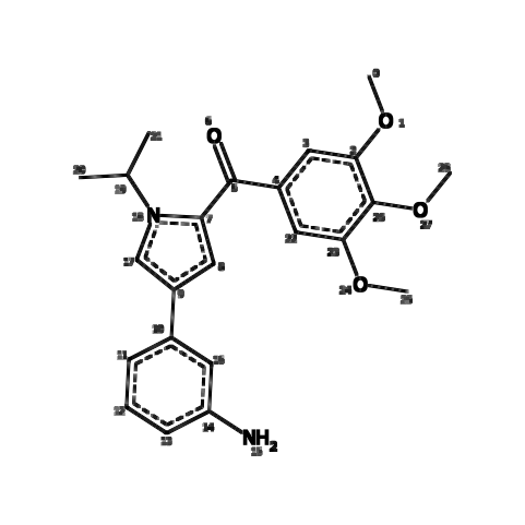 COc1cc(C(=O)c2cc(-c3cccc(N)c3)cn2C(C)C)cc(OC)c1OC